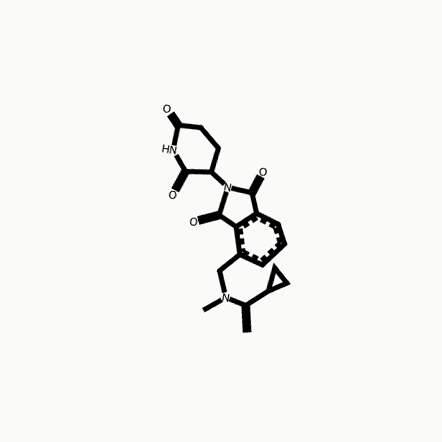 C=C(C1CC1)N(C)Cc1cccc2c1C(=O)N(C1CCC(=O)NC1=O)C2=O